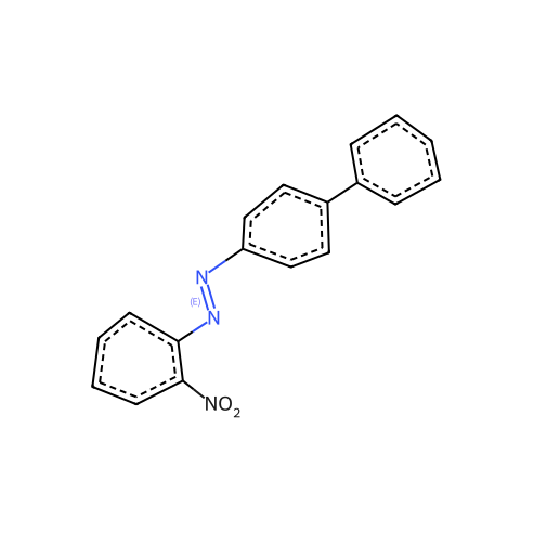 O=[N+]([O-])c1ccccc1/N=N/c1ccc(-c2ccccc2)cc1